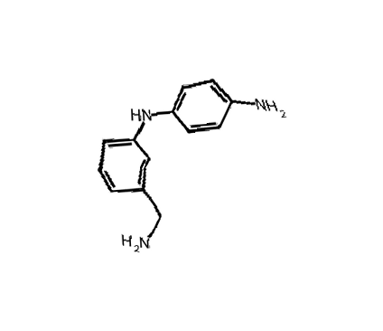 NCc1cccc(Nc2ccc(N)cc2)c1